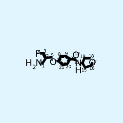 NC/C(=C\F)COc1ccc(C(=O)NC2CCOCC2)cc1